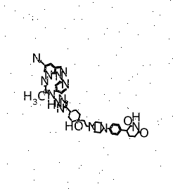 C[C@H](C#N)Nc1cc(-n2ncc3cc(C#N)cnc32)ncc1-n1cc(C2CCC(O)(CCN3CCN(c4ccc(C5CCC(=O)NC5=O)cc4)CC3)CC2)nn1